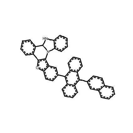 c1ccc2c(c1)NC1c3ccccc3-c3oc4ccc(-c5c6ccccc6c(-c6ccc7ccccc7c6)c6ccccc56)cc4c3N21